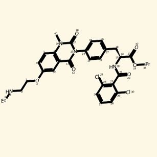 CCNCCOc1ccc2c(c1)c(=O)n(-c1ccc(C[C@H](NC(=O)c3c(Cl)cccc3Cl)C(=O)OC(C)C)cc1)c(=O)n2C